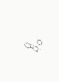 CCOC(=O)c1c(-c2cccc(Cl)c2)c2oc3ccccc3c2[nH]c1=O